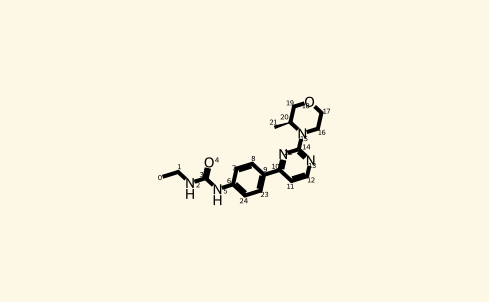 CCNC(=O)Nc1ccc(-c2ccnc(N3CCOC[C@@H]3C)n2)cc1